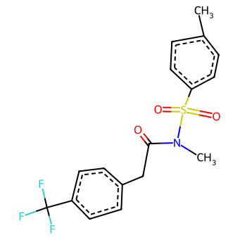 Cc1ccc(S(=O)(=O)N(C)C(=O)Cc2ccc(C(F)(F)F)cc2)cc1